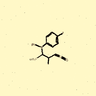 CCOC(=O)C(C(C)C=C=O)N(c1ccc(F)cc1)C(C)C